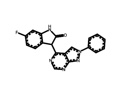 O=C1Nc2cc(F)ccc2C1c1ncnc2nn(-c3ccccc3)cc12